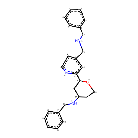 c1ccc(CNCc2ccnc(C3CC(NCc4ccccc4)CCO3)c2)cc1